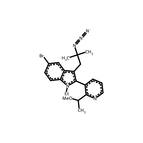 CCn1c(-c2cccnc2C(C)OC)c(CC(C)(C)N=[N+]=[N-])c2cc(Br)ccc21